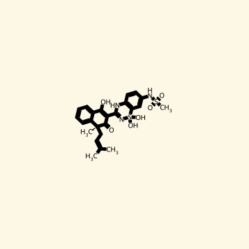 CC(C)=CC[C@]1(C)C(=O)C(C2=NS(O)(O)c3cc(NS(C)(=O)=O)ccc3N2)=C(O)c2ccccc21